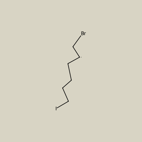 BrC[CH]CCCCI